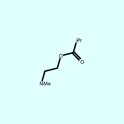 CNCCOC(=O)C(C)C